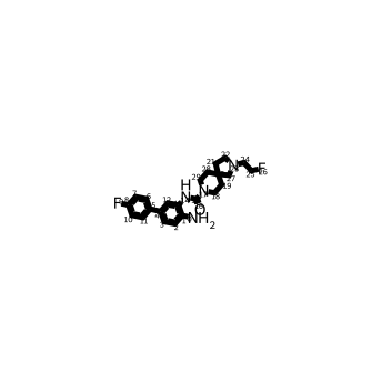 Nc1ccc(-c2ccc(F)cc2)cc1NC(=O)N1CCC2(CCN(CCF)C2)CC1